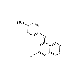 CC(C)(C)c1ccc(Sc2cc(Cl)nc3ccccc23)cc1